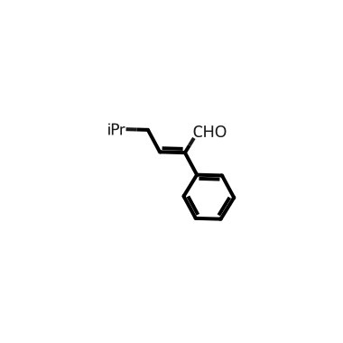 CC(C)CC=C(C=O)c1ccccc1